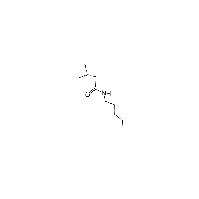 CC(C)CC(=O)NCCCCI